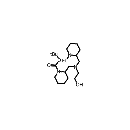 CCN1CCCCC1CN(CCO)CC1CCCCN1C(=O)OC(C)(C)C